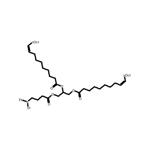 CCCCCCCC/C=C\CCCCCCCC(=O)OCC(COC(=O)CCCN(CC)CC)OC(=O)CCCCCCC/C=C\CCCCCCCC